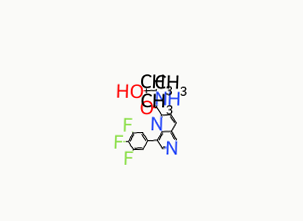 CC(NC(=O)c1ccc2cncc(-c3cc(F)c(F)c(F)c3)c2n1)C(C)(C)O